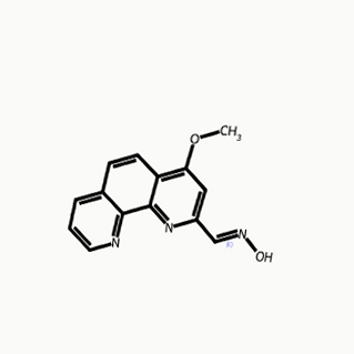 COc1cc(/C=N/O)nc2c1ccc1cccnc12